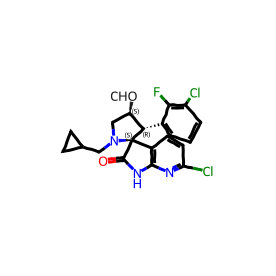 O=C[C@@H]1CN(CC2CC2)[C@@]2(C(=O)Nc3nc(Cl)ccc32)[C@H]1c1cccc(Cl)c1F